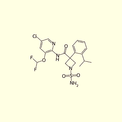 CC(C)c1ccccc1C1(C(=O)Nc2ncc(Cl)cc2OC(F)F)CN(S(N)(=O)=O)C1